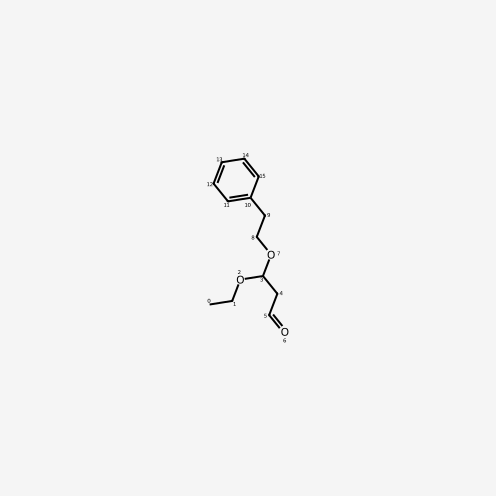 CCOC(CC=O)OCCc1ccccc1